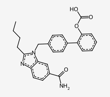 CCCCc1nc2ccc(C(N)=O)cc2n1Cc1ccc(-c2ccccc2OC(=O)O)cc1